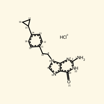 Cl.Nc1nc2c(ncn2CCc2ccc(C3CC3)cc2)c(=O)[nH]1